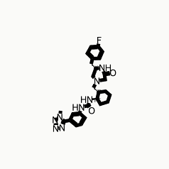 Cn1nnnc1-c1cccc(NC(=O)N[C@@H]2CCCC[C@H]2CN2CC(=O)N[C@@H](Cc3ccc(F)cc3)C2)c1